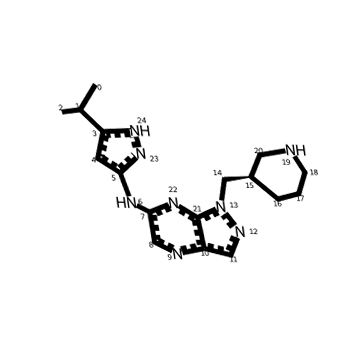 CC(C)c1cc(Nc2cnc3cnn(C[C@@H]4CCCNC4)c3n2)n[nH]1